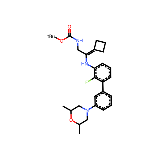 CC1CN(c2cccc(-c3cccc(NC(CNC(=O)OC(C)(C)C)=C4CCC4)c3F)c2)CC(C)O1